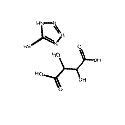 O=C(O)C(O)C(O)C(=O)O.Sc1nnn[nH]1